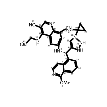 COc1nccc2c([C@H](Nc3cc(C#N)c4ncc(C#N)c(NCC(C)(C)C)c4c3)C3=CN(C4(C(F)(F)F)CC4)NN3)cccc12